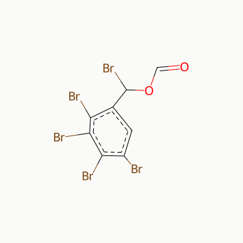 O=COC(Br)c1cc(Br)c(Br)c(Br)c1Br